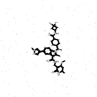 CSc1cc(C)[nH]c(=O)c1CNC(=O)c1c(C)n([C@H](C)C2CCC(C(=O)NC3CC(F)(F)C3)CC2)c2ccc(-c3cnn(C)c3)cc12